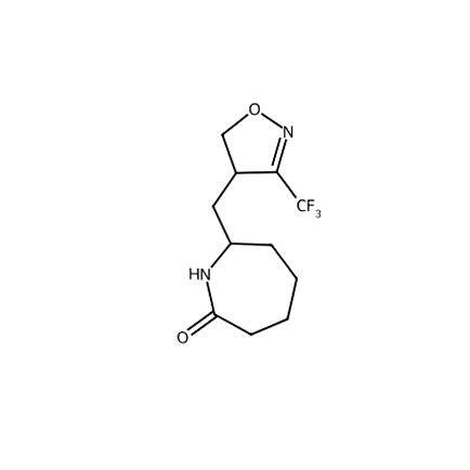 O=C1CCCCC(CC2CON=C2C(F)(F)F)N1